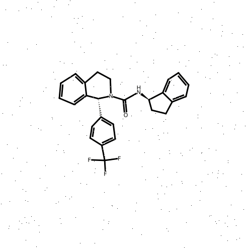 O=C(N[C@@H]1CCc2ccccc21)N1CCc2ccccc2[C@H]1c1ccc(C(F)(F)F)cc1